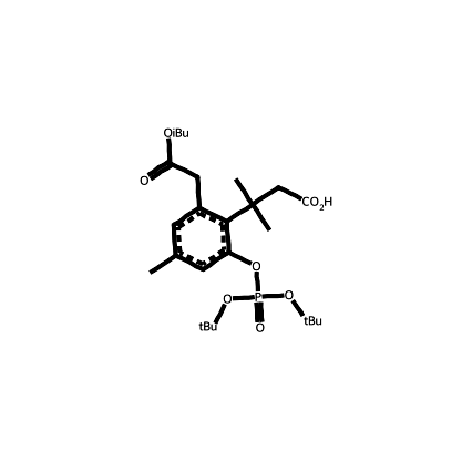 Cc1cc(CC(=O)OCC(C)C)c(C(C)(C)CC(=O)O)c(OP(=O)(OC(C)(C)C)OC(C)(C)C)c1